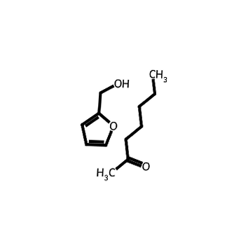 CCCCCC(C)=O.OCc1ccco1